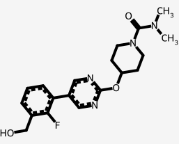 CN(C)C(=O)N1CCC(Oc2ncc(-c3cccc(CO)c3F)cn2)CC1